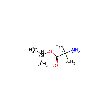 C[SiH](C)OC(=O)C(C)(C)N